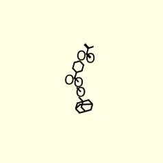 C=C(C)C(=O)OC1CCC(C(=O)OCOCC23CC4CC(CC(C4)C2)C3)CC1